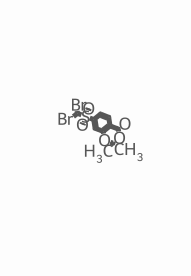 CC1(C)OC(=O)c2ccc(S(=O)(=O)C(Br)Br)cc2O1